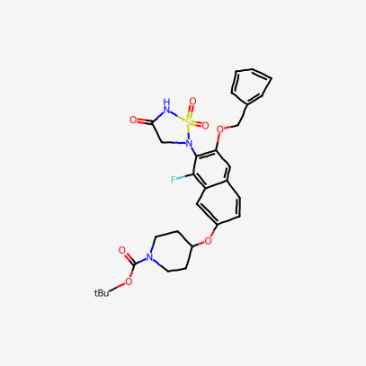 CC(C)(C)OC(=O)N1CCC(Oc2ccc3cc(OCc4ccccc4)c(N4CC(=O)NS4(=O)=O)c(F)c3c2)CC1